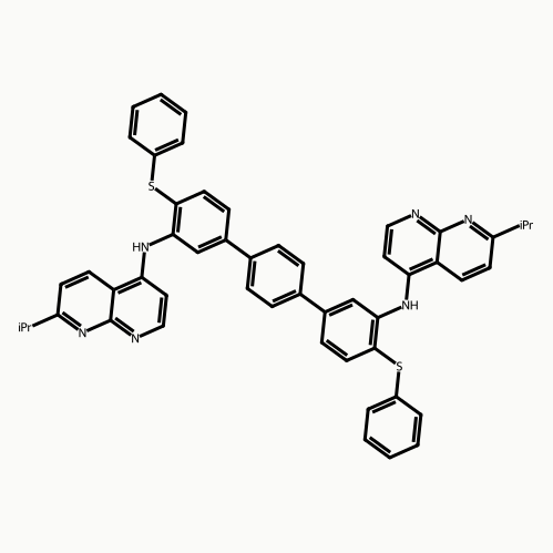 CC(C)c1ccc2c(Nc3cc(-c4ccc(-c5ccc(Sc6ccccc6)c(Nc6ccnc7nc(C(C)C)ccc67)c5)cc4)ccc3Sc3ccccc3)ccnc2n1